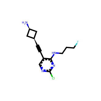 N[C@H]1C[C@@H](C#Cc2cnc(Cl)nc2NCCCF)C1